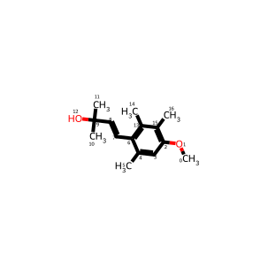 COc1cc(C)c(/C=C/C(C)(C)O)c(C)c1C